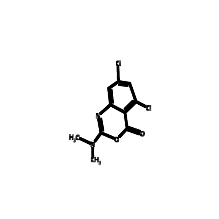 CN(C)c1nc2cc(Cl)cc(Cl)c2c(=O)o1